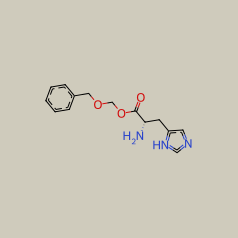 N[C@@H](Cc1cnc[nH]1)C(=O)OCOCc1ccccc1